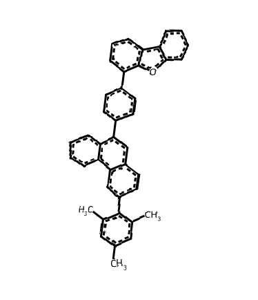 Cc1cc(C)c(-c2ccc3cc(-c4ccc(-c5cccc6c5oc5ccccc56)cc4)c4ccccc4c3c2)c(C)c1